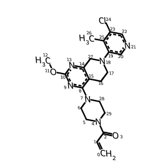 C=CC(=O)N1CCN(c2nc(OC)nc3c2CCN(c2cncc(Cl)c2C)C3)CC1